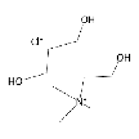 C[N+](C)(C)CCO.OCCCO.[Cl-]